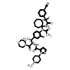 CC(=O)N(c1ccc([C@H](C)[C@@H](NC(=O)c2ccnn2C2CCN(C)CC2)C(=O)N2CCOCC2)cc1F)C1(NC(=O)C(F)(F)c2cccc(C#N)c2)CCCCCC1